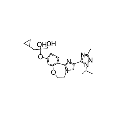 Cc1nc(-c2cn3c(n2)-c2ccc(OC(O)(CO)CC4CC4)cc2OCC3)n(C(C)C)n1